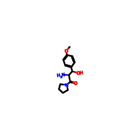 COc1ccc([C@@H](O)[C@H](N)C(=O)N2CCCC2)cc1